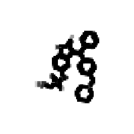 CCS(=O)(=O)Nc1ccc2c(c1)C(=C(c1ccccc1)c1ccc(CN3CCCCC3)cc1)C(=O)N2